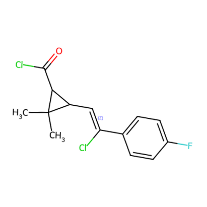 CC1(C)C(/C=C(\Cl)c2ccc(F)cc2)C1C(=O)Cl